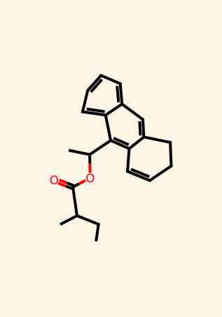 CCC(C)C(=O)OC(C)c1c2c(cc3ccccc13)CCC=C2